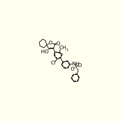 Cc1cc(-c2cccc(NS(=O)(=O)Cc3ccccc3)c2)c(Cl)cc1C1=C(O)C2(CCCCC2)OC1=O